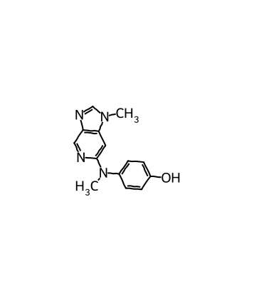 CN(c1ccc(O)cc1)c1cc2c(cn1)ncn2C